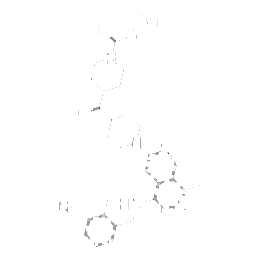 Cc1c(C#N)cccc1[C@@H](C)Nc1nnc(C)c2cnc(N3CCC(C(=O)C4CCN(C(=O)OC(C)(C)C)CC4)CC3)cc12